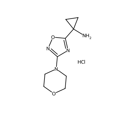 Cl.NC1(c2nc(N3CCOCC3)no2)CC1